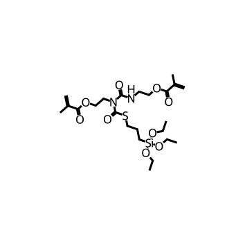 C=C(C)C(=O)OCCNC(=O)N(CCOC(=O)C(=C)C)C(=O)SCCC[Si](OCC)(OCC)OCC